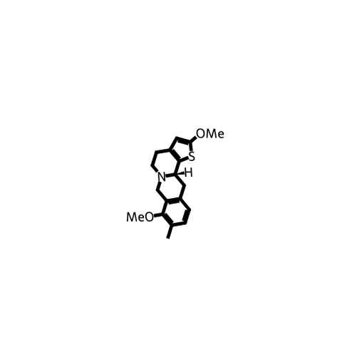 COc1cc2c(s1)[C@@H]1Cc3ccc(C)c(OC)c3CN1CC2